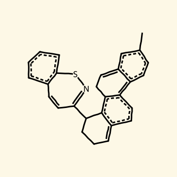 Cc1ccc2c(c1)=CCc1c3c(ccc1=2)=CCCC3C1=NSc2ccccc2C=C1